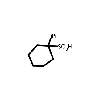 CC(C)C1(S(=O)(=O)O)CCCCC1